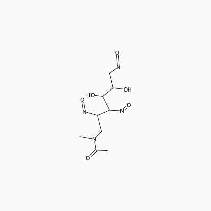 CC(=O)N(C)CC(N=O)C(N=O)C(O)C(O)CN=O